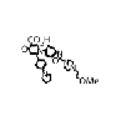 COCCN1CCN(c2nc3ccc(-n4cc(C(=O)O)c(=O)cc4-c4ccc(N5CCCC5)cc4)cc3o2)CC1